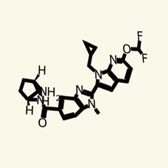 Cn1c(-c2cc3ccc(OC(F)F)nc3n2CC2CC2)nc2cc(C(=O)N3C[C@H]4CC[C@@H]3[C@@H]4N)ccc21